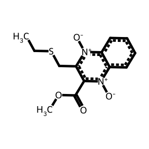 CCSCc1c(C(=O)OC)[n+]([O-])c2ccccc2[n+]1[O-]